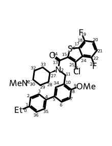 CCc1ccc(-c2ccc(OC)c(CN(C(=O)c3sc4c(F)ccc(F)c4c3Cl)[C@H]3CC[C@H](NC)CC3)c2)cc1